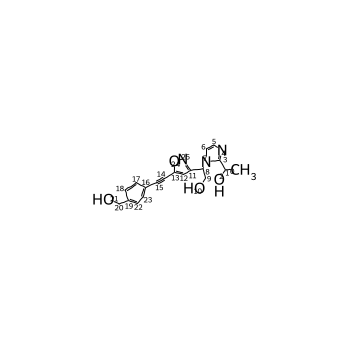 CC(O)c1nccn1C(CO)c1cc(C#Cc2ccc(CO)cc2)on1